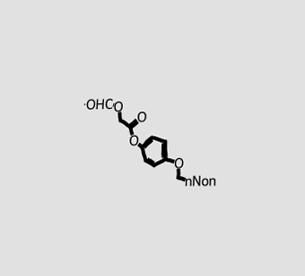 CCCCCCCCCCOc1ccc(OC(=O)CO[C]=O)cc1